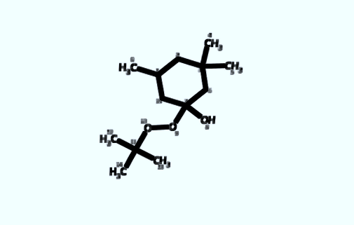 CC1CC(C)(C)CC(O)(OOC(C)(C)C)C1